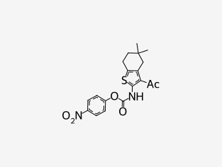 CC(=O)c1c(NC(=O)Oc2ccc([N+](=O)[O-])cc2)sc2c1CC(C)(C)CC2